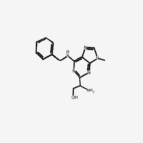 Cn1cnc2c(NCc3ccccc3)nc(C(N)CO)nc21